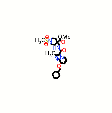 COC(=O)C1(CNC(=O)c2c(C)nc3c(OCC4CCCCC4)cccn23)CCN(S(C)(=O)=O)CC1